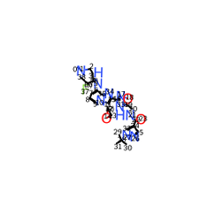 CN1CC[C@@H](Nc2cccn3c([C@@H]4CO4)c(-c4noc(CNC(=O)c5cnn(C(C)(C)C)c5)n4)nc23)[C@@H](F)C1